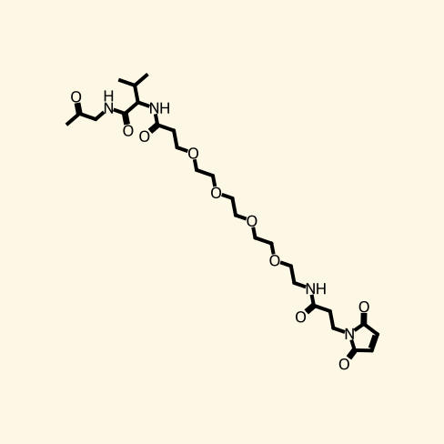 CC(=O)CNC(=O)C(NC(=O)CCOCCOCCOCCOCCNC(=O)CCN1C(=O)C=CC1=O)C(C)C